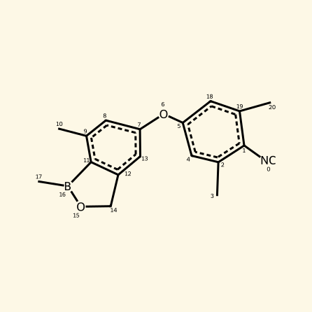 [C-]#[N+]c1c(C)cc(Oc2cc(C)c3c(c2)COB3C)cc1C